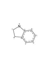 [c]1cccc2c1[N]CC2